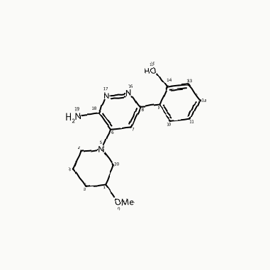 COC1CCCN(c2cc(-c3ccccc3O)nnc2N)C1